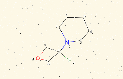 FC1(N2CC[CH]CC2)COC1